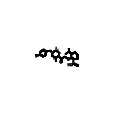 CC(C)c1cccc(C(=O)O)c1OCC(=O)N1C[C@@H](C)N(Cc2ccc(F)cc2)C[C@@H]1C